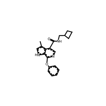 Cc1c[nH]c2c(Oc3ccccc3)ncc(C(=O)NCC3CCC3)c12